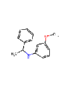 COc1cccc(NC(C)c2ccccc2)c1